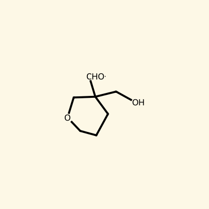 O=[C]C1(CO)CCCOC1